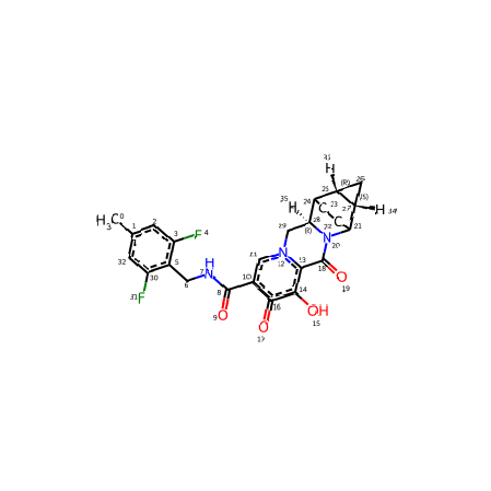 Cc1cc(F)c(CNC(=O)c2cn3c(c(O)c2=O)C(=O)N2C4CCC([C@@H]5C[C@H]45)[C@@H]2C3)c(F)c1